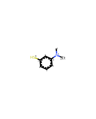 CCN(C)c1cccc(S)c1